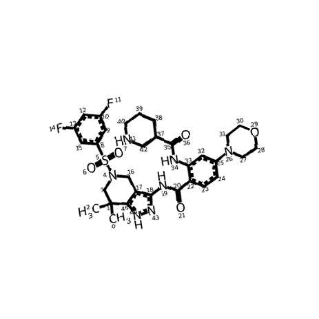 CC1(C)CN(S(=O)(=O)c2cc(F)cc(F)c2)Cc2c(NC(=O)c3ccc(N4CCOCC4)cc3NC(=O)C3CCCNC3)n[nH]c21